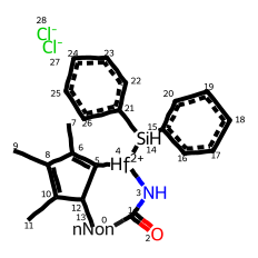 CCCCCCCCCC(=O)[NH][Hf+2]([C]1=C(C)C(C)=C(C)C1C)[SiH](c1ccccc1)c1ccccc1.[Cl-].[Cl-]